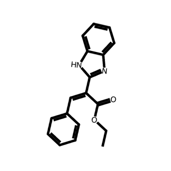 CCOC(=O)C(=Cc1ccccc1)c1nc2ccccc2[nH]1